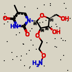 Cc1cn([C@@H]2O[C@H](CO)[C@@H](O)[C@H]2OCCON)c(=O)[nH]c1=O